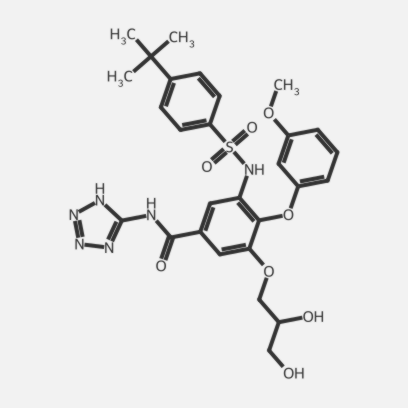 COc1cccc(Oc2c(NS(=O)(=O)c3ccc(C(C)(C)C)cc3)cc(C(=O)Nc3nnn[nH]3)cc2OCC(O)CO)c1